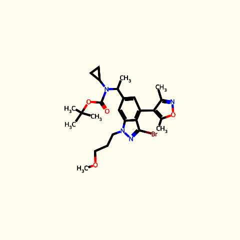 COCCCn1nc(Br)c2c(-c3c(C)noc3C)cc(C(C)N(C(=O)OC(C)(C)C)C3CC3)cc21